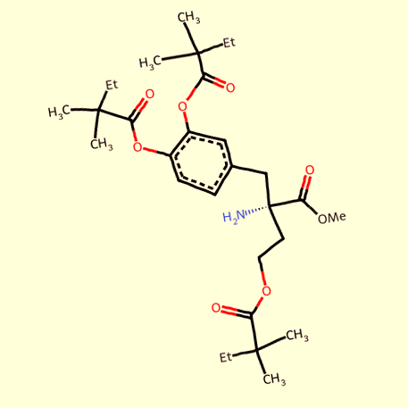 CCC(C)(C)C(=O)OCC[C@@](N)(Cc1ccc(OC(=O)C(C)(C)CC)c(OC(=O)C(C)(C)CC)c1)C(=O)OC